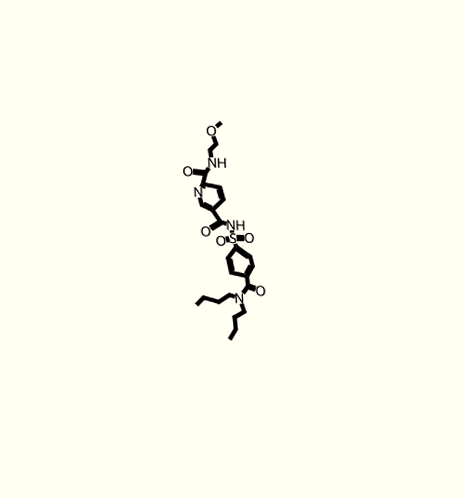 CCCCN(CCCC)C(=O)c1ccc(S(=O)(=O)NC(=O)c2ccc(C(=O)NCCOC)nc2)cc1